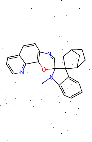 CN1c2ccccc2C2(CC3CCC2C3)C12C=Nc1ccc3cccnc3c1O2